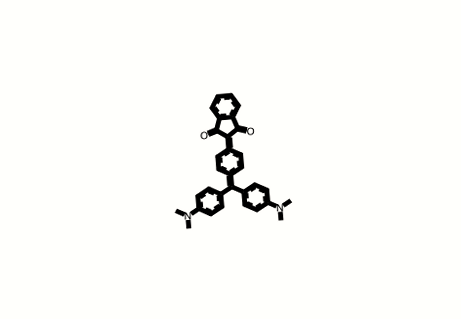 CN(C)c1ccc(C(c2ccc(N(C)C)cc2)=c2ccc(=C3C(=O)c4ccccc4C3=O)cc2)cc1